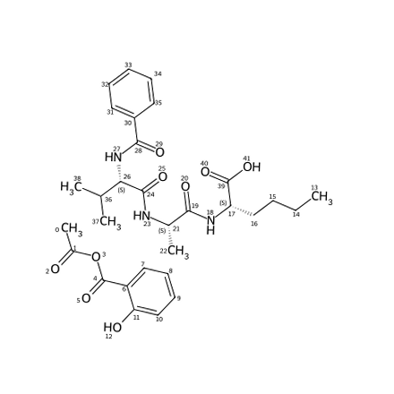 CC(=O)OC(=O)c1ccccc1O.CCCC[C@H](NC(=O)[C@H](C)NC(=O)[C@@H](NC(=O)c1ccccc1)C(C)C)C(=O)O